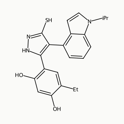 CCc1cc(-c2[nH]nc(S)c2-c2cccc3c2ccn3C(C)C)c(O)cc1O